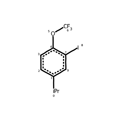 CC(C)c1ccc(OC(F)(F)F)c(I)c1